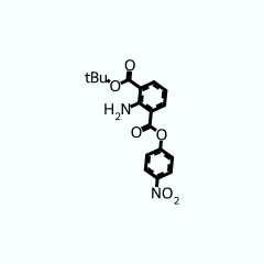 CC(C)(C)OC(=O)c1cccc(C(=O)Oc2ccc([N+](=O)[O-])cc2)c1N